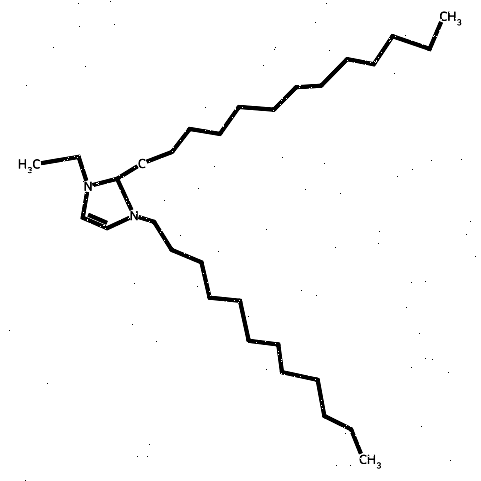 CCCCCCCCCCCCCC1N(CC)C=CN1CCCCCCCCCCCC